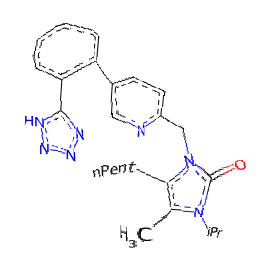 CCCCCc1c(C)n(C(C)C)c(=O)n1Cc1ccc(-c2ccccc2-c2nnn[nH]2)cn1